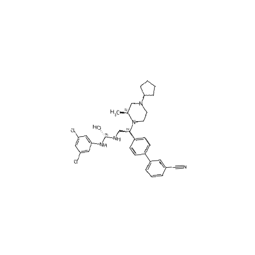 C[C@H]1CN(C2CCCC2)CCN1[C@H](CN[C@@H](O)Nc1cc(Cl)cc(Cl)c1)c1ccc(-c2cccc(C#N)c2)cc1